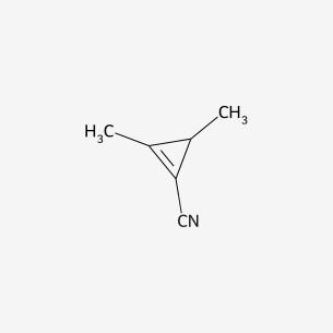 CC1=C(C#N)C1C